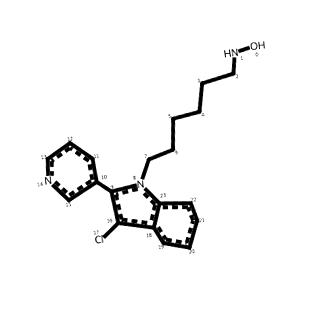 ONCCCCCCn1c(-c2cccnc2)c(Cl)c2ccccc21